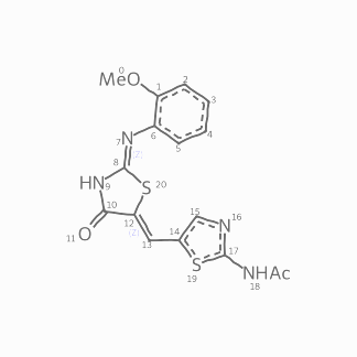 COc1ccccc1/N=C1/NC(=O)/C(=C/c2cnc(NC(C)=O)s2)S1